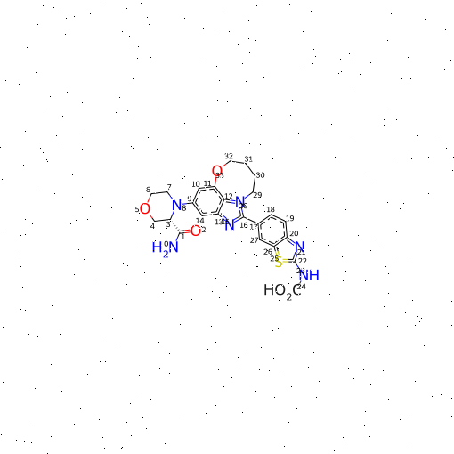 NC(=O)[C@@H]1COCCN1c1cc2c3c(c1)nc(-c1ccc4nc(NC(=O)O)sc4c1)n3CCCCO2